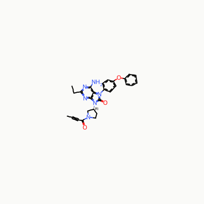 CC#CC(=O)N1CC[C@@H](n2c(=O)n(-c3ccc(Oc4ccccc4)cc3)c3c(N)nc(CC)nc32)C1